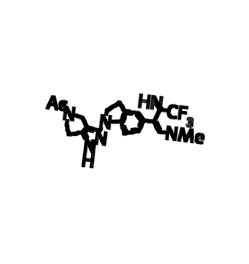 CN/C=C(\C(=N)C(F)(F)F)c1ccc2c(c1)CCN2c1n[nH]c2c1CN(C(C)=O)CC2